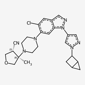 C[C@]1(N2CCN(c3cc4c(cnn4-c4cnn(C5CC6CC65)c4)cc3Cl)CC2)COC[C@@H]1C#N